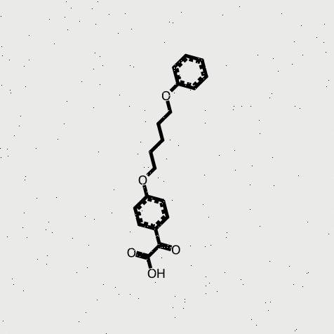 O=C(O)C(=O)c1ccc(OCCCCCOc2ccccc2)cc1